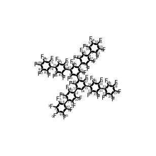 Fc1c(F)c(F)c(-c2c(F)c(F)c(-c3cc(-c4c(F)c(F)c(-c5c(F)c(F)c(F)c(F)c5F)c(F)c4F)c(F)c(-c4c(F)c(-c5c(F)c(F)c(-c6c(F)c(F)c(F)c(F)c6F)c(F)c5F)c(F)c(-c5c(F)c(F)c(-c6c(F)c(F)c(F)c(F)c6F)c(F)c5F)c4F)c3F)c(F)c2F)c(F)c1F